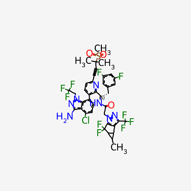 CC1C2c3c(C(F)(F)F)nn(CC(=O)N[C@@H](Cc4cc(F)cc(F)c4)c4nc(C#CC(C)(C)S(C)(=O)=O)ccc4-c4ccc(Cl)c5c(N)nn(CC(F)(F)F)c45)c3C(F)(F)C12